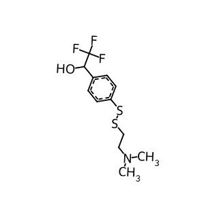 CN(C)CCSSc1ccc(C(O)C(F)(F)F)cc1